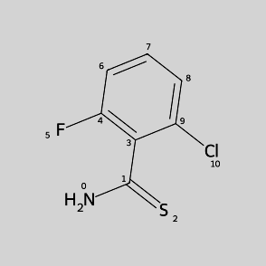 NC(=S)c1c(F)cccc1Cl